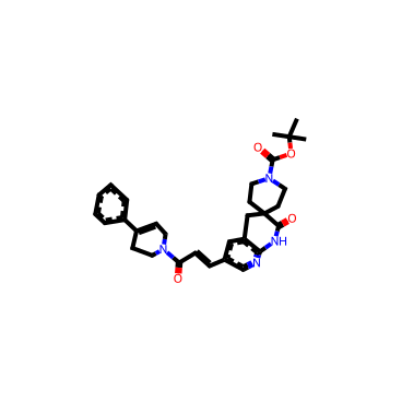 CC(C)(C)OC(=O)N1CCC2(CC1)Cc1cc(C=CC(=O)N3CC=C(c4ccccc4)CC3)cnc1NC2=O